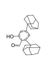 O=Cc1c(O)cc(C23CC4CC(CC(C4)C2)C3)cc1C12CC3CC(CC(C3)C1)C2